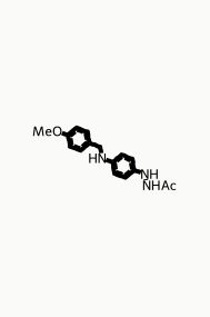 COc1ccc(CNc2ccc(NNC(C)=O)cc2)cc1